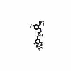 CCCNc1cc(C(F)(F)F)ccc1/C=C\C(=O)NCc1cc(C)c(NS(C)(=O)=O)c(F)c1